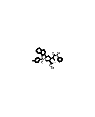 CCO/C(CC)=C1\CN(S(=O)(=O)c2ccc(C)cc2)C(c2ccc3ccccc3c2)CC1C(C)C(=O)N(C(C)=O)c1ccccc1